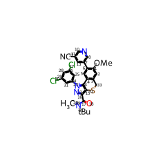 COc1cc2c(cc1-c1cncc(C#N)c1)-c1c(c(C(=O)N(C)C(C)(C)C)nn1-c1cc(Cl)cc(Cl)c1)SC2